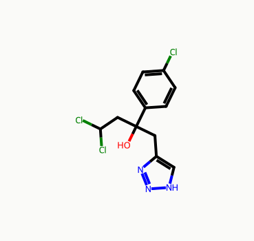 OC(Cc1c[nH]nn1)(CC(Cl)Cl)c1ccc(Cl)cc1